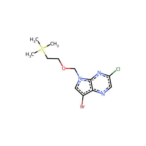 CS(C)(C)CCOCn1cc(Br)c2ncc(Cl)nc21